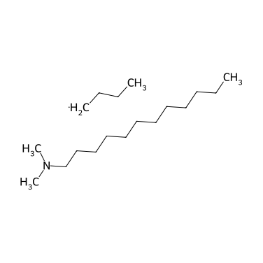 CCCCCCCCCCCCN(C)C.[CH2]CCC